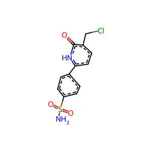 NS(=O)(=O)c1ccc(-c2ccc(CCl)c(=O)[nH]2)cc1